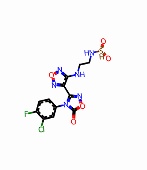 O=c1onc(-c2nonc2NCCN[SH](=O)=O)n1-c1ccc(F)c(Cl)c1